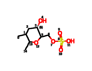 CC1C[C@H](O)C(COS(=O)(=O)O)OC1C